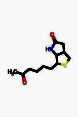 CC(=O)CCCCC1SCC2CC(=O)NC21